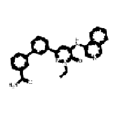 CCn1nc(-c2cccc(-c3cccc(C(N)=O)c3)c2)cc(Nc2cncc3ccccc23)c1=O